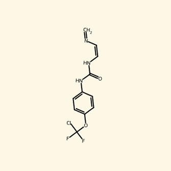 C=N/C=C\NC(=O)Nc1ccc(OC(F)(F)Cl)cc1